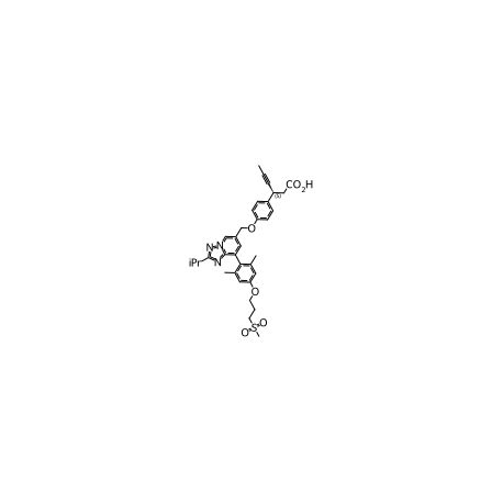 CC#C[C@@H](CC(=O)O)c1ccc(OCc2cc(-c3c(C)cc(OCCCS(C)(=O)=O)cc3C)c3nc(C(C)C)nn3c2)cc1